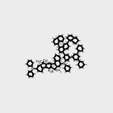 CC1(C)c2cc(N(c3ccccc3)c3ccccc3)ccc2-c2cc3c(cc21)-c1c(cc(N(c2ccccc2)c2cc(-c4cc(-c5ccccc5)cc(-c5ccccc5)c4)cc(-c4ccc(-c5cccc6ccccc56)c5cc(-c6cccc7ccccc67)ccc45)c2)c2ccccc12)C3(C)C